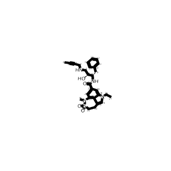 CC#CCNC[C@@H](O)[C@H](Cc1ccccc1)NC(=O)c1cc2c3c(cn(CC)c3c1)CCS(=O)(=O)N2C